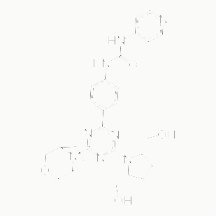 O=C(Nc1ccncc1)Nc1ccc(-c2nc(N3C4CCC3COC4)nc(N3[C@H](CO)CC[C@@H]3CO)n2)cc1